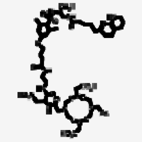 CC(=O)CN1CCN(CC(=O)O)CCN(CC(=O)NC(CS(=O)(=O)O)C(=O)NCCNC(=O)CCCOc2cc(C)c(S(=O)(=O)NC(CNC(=O)CCCCc3ccc4c(n3)NCCC4)C(=O)O)c(C)c2)CCN(CC(=O)O)CC1